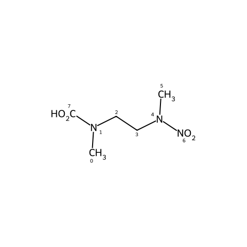 CN(CCN(C)[N+](=O)[O-])C(=O)O